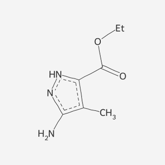 CCOC(=O)c1[nH]nc(N)c1C